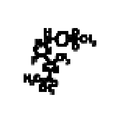 CN(C)C(=O)c1nc(C(F)(F)F)c(-c2nc(NC3CCN(S(C)(=O)=O)CC3)ncc2F)s1